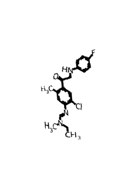 CCN(C)C=Nc1cc(C)c(C(=O)CNc2ccc(F)cc2)cc1Cl